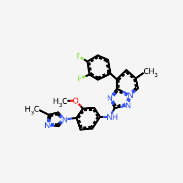 COc1cc(Nc2nc3c(-c4ccc(F)c(F)c4)cc(C)cn3n2)ccc1-n1cnc(C)c1